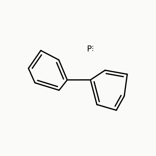 [P].c1ccc(-c2ccccc2)cc1